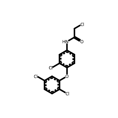 O=C(CCl)Nc1ccc(Oc2cc(Cl)ccc2Cl)c(Cl)c1